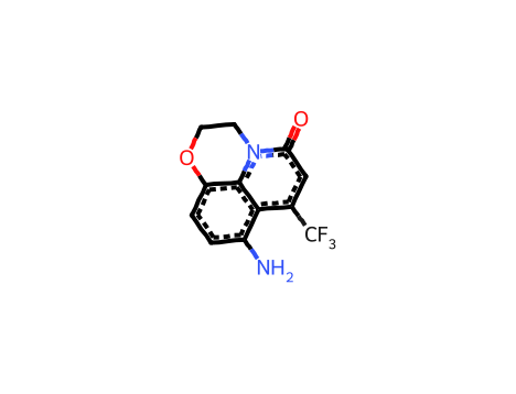 Nc1ccc2c3c1c(C(F)(F)F)cc(=O)n3CCO2